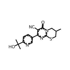 CC1CSc2nc(-c3ccc(C(C)(C)O)nc3)c(C#N)c(=O)n2C1